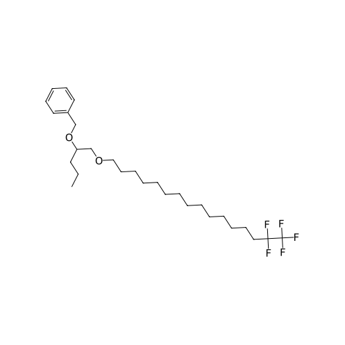 CCCC(COCCCCCCCCCCCCCCC(F)(F)C(F)(F)F)OCc1ccccc1